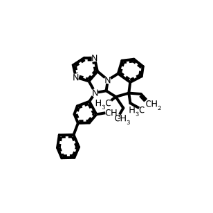 C=CC1(CC)c2ccccc2N2c3nccnc3N(c3ccc(-c4ccccc4)cc3C)C2C1(C)CC